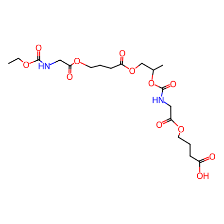 CCOC(=O)NCC(=O)OCCCC(=O)OCC(C)OC(=O)NCC(=O)OCCCC(=O)O